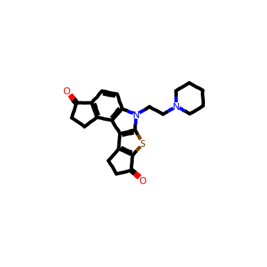 O=C1CCc2c1ccc1c2c2c3c(sc2n1CCN1CCCCC1)C(=O)CC3